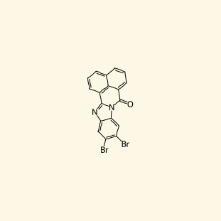 O=c1c2cccc3cccc(c32)c2nc3cc(Br)c(Br)cc3n12